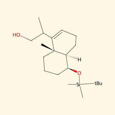 CC(CO)C1=CCC[C@H]2[C@@H](O[Si](C)(C)C(C)(C)C)CCC[C@]12C